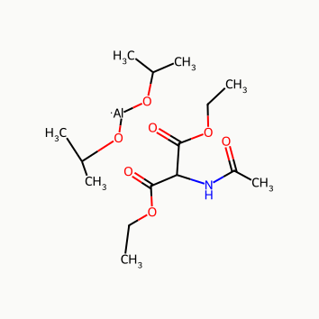 CC(C)[O][Al][O]C(C)C.CCOC(=O)C(NC(C)=O)C(=O)OCC